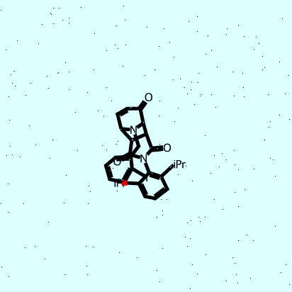 CC(C)c1cccc(C(C)C)c1N1C(=O)C2C(C1=O)C1C(=O)C=CC2N1Cc1ccccc1I